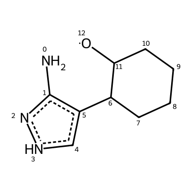 Nc1n[nH]cc1C1CCCCC1[O]